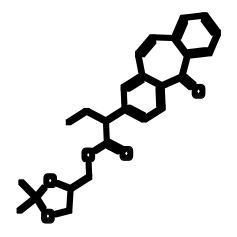 CCC(C(=O)OCC1COC(C)(C)O1)c1ccc2c(=O)c3ccccc3ccc2c1